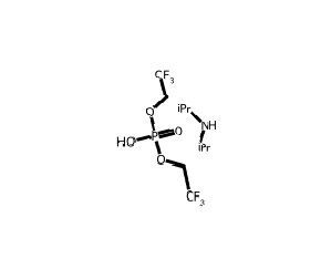 CC(C)NC(C)C.O=P(O)(OCC(F)(F)F)OCC(F)(F)F